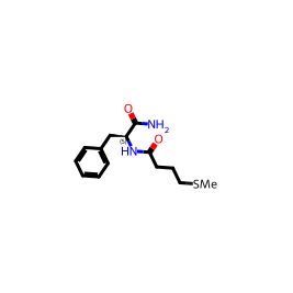 CSCCCC(=O)N[C@@H](Cc1ccccc1)C(N)=O